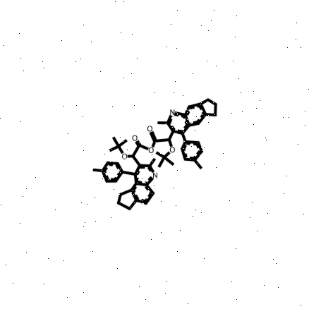 Cc1ccc(-c2c(C(OC(C)(C)C)C(=O)OC(=O)C(OC(C)(C)C)c3c(C)nc4ccc5c(c4c3-c3ccc(C)cc3)CCC5)c(C)nc3cc4c(cc23)CCC4)cc1